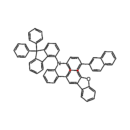 c1ccc(C2(c3ccccc3)c3ccccc3-c3c(N(c4ccc(-c5ccc6ccccc6c5)cc4)c4ccccc4-c4ccc5oc6ccccc6c5c4)cccc32)cc1